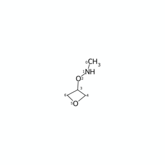 CNOC1COC1